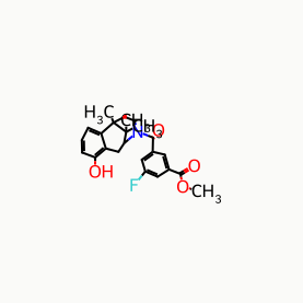 COC(=O)c1cc(F)cc(C(=O)N2CCC3(C)c4cccc(O)c4CC2C3(C)C)c1